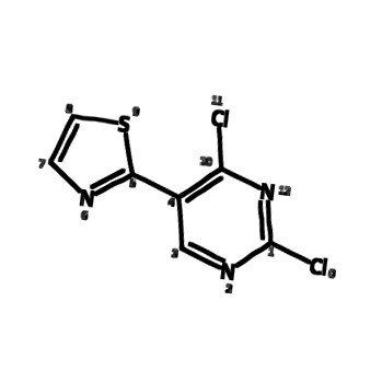 Clc1ncc(-c2nccs2)c(Cl)n1